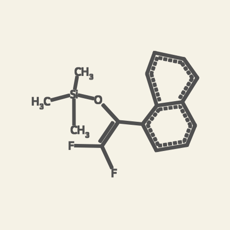 C[Si](C)(C)OC(=C(F)F)c1cccc2ccccc12